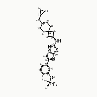 FC(F)(F)Oc1cccc(-c2cn3nc(NC4CC5(CCN(CC6CC6)CC5)C4)sc3n2)c1